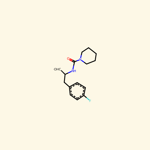 O=[C]C(Cc1ccc(F)cc1)NC(=O)N1CCCCC1